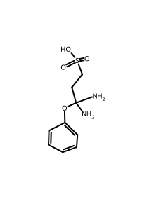 NC(N)(CCS(=O)(=O)O)Oc1ccccc1